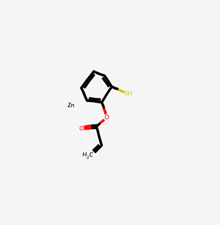 C=CC(=O)Oc1ccccc1S.[Zn]